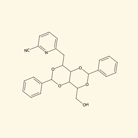 N#Cc1cccc(CC2OC(c3ccccc3)OC3C(CO)OC(c4ccccc4)OC23)n1